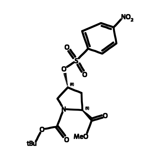 COC(=O)[C@@H]1C[C@@H](OS(=O)(=O)c2ccc([N+](=O)[O-])cc2)CN1C(=O)OC(C)(C)C